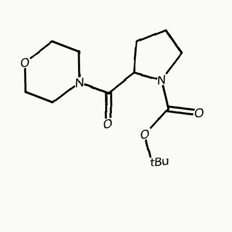 CC(C)(C)OC(=O)N1CCCC1C(=O)N1CCOCC1